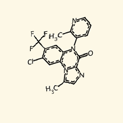 Cc1ncccc1-n1c(=O)c2ncc(C)n2c2cc(Cl)c(C(F)(F)F)cc21